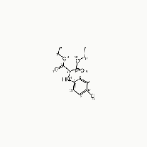 CCOC(=O)C(Nc1ccc(Cl)cc1)C(=O)OCC